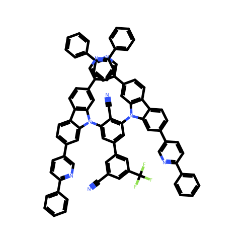 N#Cc1cc(-c2cc(-n3c4cc(-c5ccc(-c6ccccc6)nc5)ccc4c4ccc(-c5ccc(-c6ccccc6)nc5)cc43)c(C#N)c(-n3c4cc(-c5ccc(-c6ccccc6)nc5)ccc4c4ccc(-c5ccc(-c6ccccc6)nc5)cc43)c2)cc(C(F)(F)F)c1